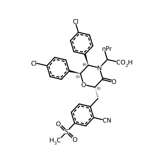 CCCC(C(=O)O)N1C(=O)[C@H](Cc2ccc(S(C)(=O)=O)cc2C#N)O[C@@H](c2ccc(Cl)cc2)[C@H]1c1ccc(Cl)cc1